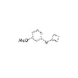 COc1cccc(N(C)C2=CCC2)c1